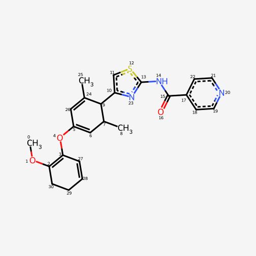 COC1=C(OC2=CC(C)C(c3csc(NC(=O)c4ccncc4)n3)C(C)=C2)C=CCC1